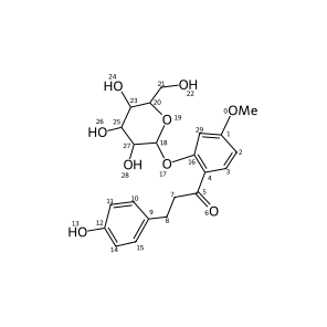 COc1ccc(C(=O)CCc2ccc(O)cc2)c(OC2OC(CO)C(O)C(O)C2O)c1